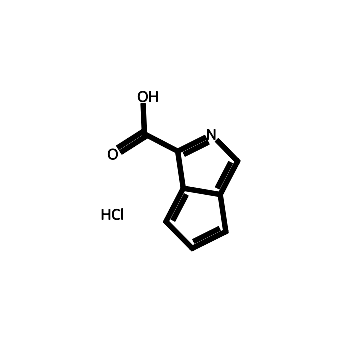 Cl.O=C(O)C1=NC=C2C=CC=C21